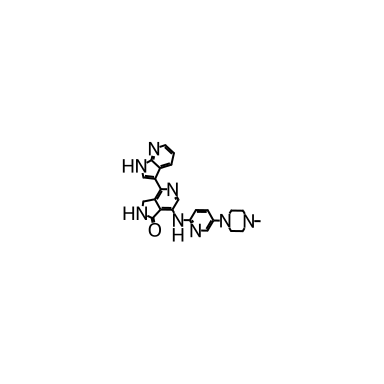 CN1CCN(c2ccc(Nc3cnc(-c4c[nH]c5ncccc45)c4c3C(=O)NC4)nc2)CC1